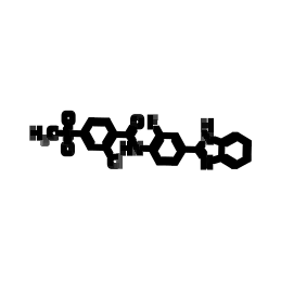 CS(=O)(=O)c1ccc(C(=O)Nc2ccc(-c3nc4ccccc4[nH]3)cc2F)c(Cl)c1